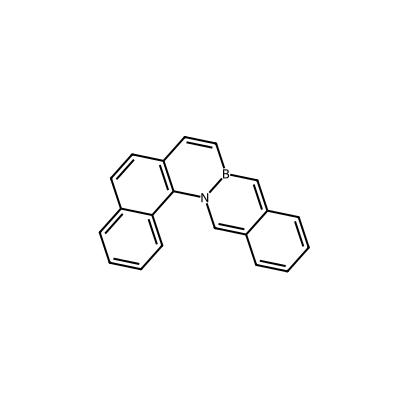 C1=Cc2ccc3ccccc3c2N2C=c3ccccc3=CB12